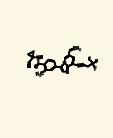 C=Cc1cc(NCCC(F)(F)F)c2ncc(-c3ccc(C(=O)NC4(C#N)CC4)c(C)c3)n2c1